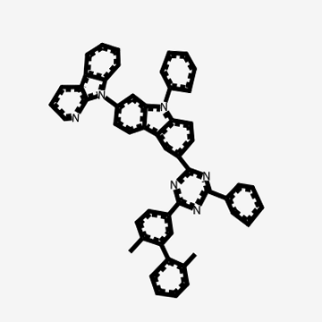 Cc1ccccc1-c1cc(-c2nc(-c3ccccc3)nc(-c3ccc4c(c3)c3ccc(-n5c6ccccc6c6cccnc65)cc3n4-c3ccccc3)n2)ccc1C